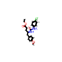 CCOC(=O)CCC(Cc1ccc(OC)cc1)NC(=O)Nc1ccc(Cl)cc1